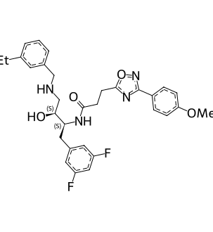 CCc1cccc(CNC[C@H](O)[C@H](Cc2cc(F)cc(F)c2)NC(=O)CCc2nc(-c3ccc(OC)cc3)no2)c1